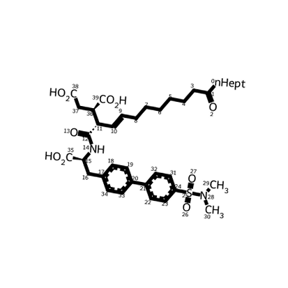 CCCCCCCC(=O)CCCCCC/C=C/[C@H](C(=O)N[C@@H](Cc1ccc(-c2ccc(S(=O)(=O)N(C)C)cc2)cc1)C(=O)O)[C@@H](CC(=O)O)C(=O)O